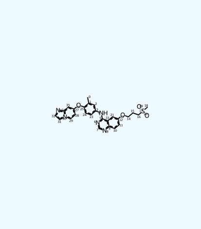 Cc1cc(Nc2ncnc3ccc(OCCCS(C)(=O)=O)cc23)ccc1Oc1ccn2ccnc2c1